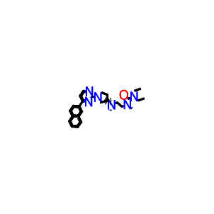 CCN(CC)C(=O)N(C)CCN(C)[C@@H]1CCN(c2nccc(-c3ccc4ccccc4c3)n2)C1